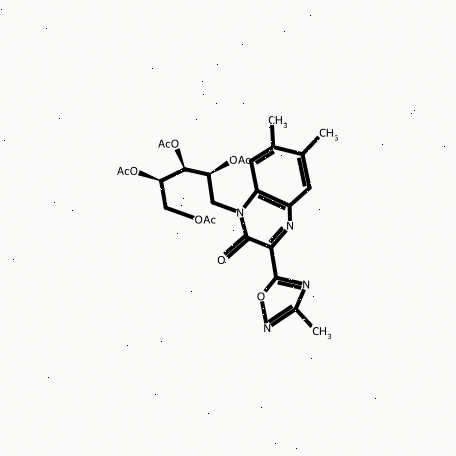 CC(=O)OC[C@@H](OC(C)=O)[C@@H](OC(C)=O)[C@H](Cn1c(=O)c(-c2nc(C)no2)nc2cc(C)c(C)cc21)OC(C)=O